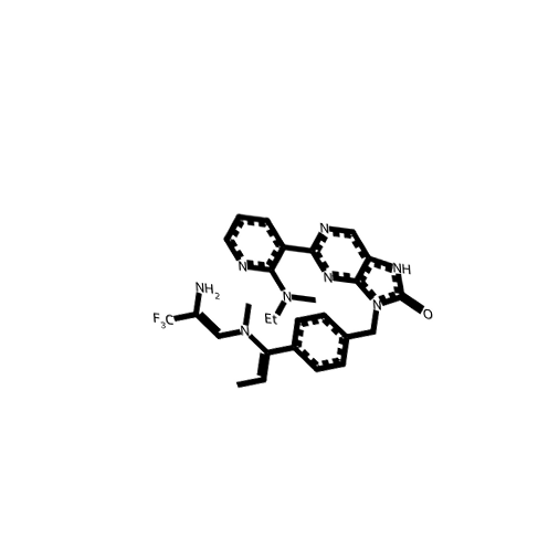 C/C=C(/c1ccc(Cn2c(=O)[nH]c3cnc(-c4cccnc4N(C)CC)nc32)cc1)N(C)/C=C(\N)C(F)(F)F